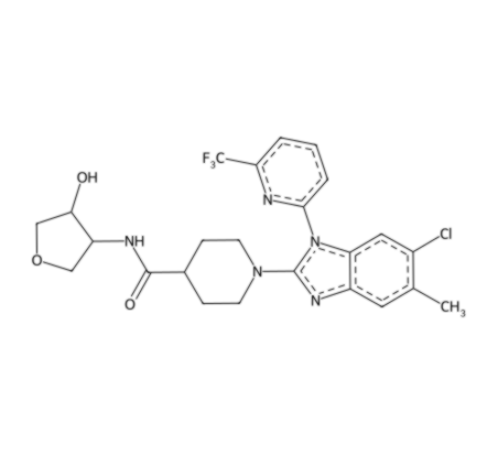 Cc1cc2nc(N3CCC(C(=O)NC4COCC4O)CC3)n(-c3cccc(C(F)(F)F)n3)c2cc1Cl